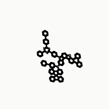 c1ccc(-c2ccc(-c3nc(-c4ccccc4)nc(-c4ccc(-n5c6cc(N(c7ccc(-c8ccccc8)cc7)c7cccc8c7-c7ccccc7C87c8ccccc8-c8ccccc87)ccc6c6c7c(ccc65)oc5c7ccc6c7ccccc7c7ccccc7c65)cc4)n3)cc2)cc1